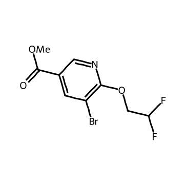 COC(=O)c1cnc(OCC(F)F)c(Br)c1